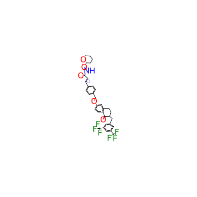 O=C(/C=C/c1ccc(COc2ccc3c(c2)CCC(Cc2cc(C(F)(F)F)cc(C(F)(F)F)c2)C3=O)cc1)NOC1CCCCO1